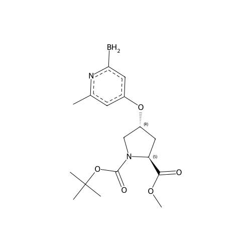 Bc1cc(O[C@@H]2C[C@@H](C(=O)OC)N(C(=O)OC(C)(C)C)C2)cc(C)n1